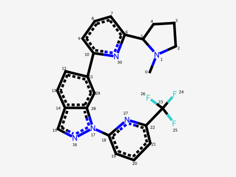 CN1CCCC1c1cccc(-c2ccc3cnn(-c4cccc(C(F)(F)F)n4)c3c2)n1